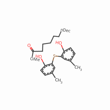 CCCCCCCCCCCCCCCC(=O)OC.Cc1ccc(O)c(Sc2cc(C)ccc2O)c1